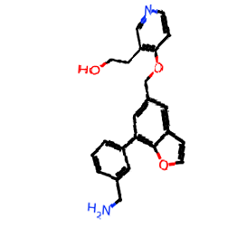 NCc1cccc(-c2cc(COc3ccncc3CCO)cc3ccoc23)c1